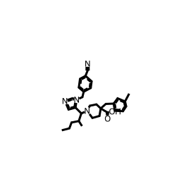 CCCC(C)C(c1cncn1Cc1ccc(C#N)cc1)N1CCC(Cc2cccc(C)c2)(C(=O)O)CC1